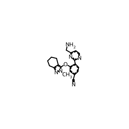 Cn1nc2c(c1Oc1cc(C#N)ccc1-c1nccc(CN)n1)CCCC2